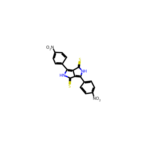 O=[N+]([O-])c1ccc(C2=C3C(=S)NC(c4ccc([N+](=O)[O-])cc4)=C3C(=S)N2)cc1